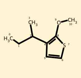 CCC(C)c1ccsc1OC